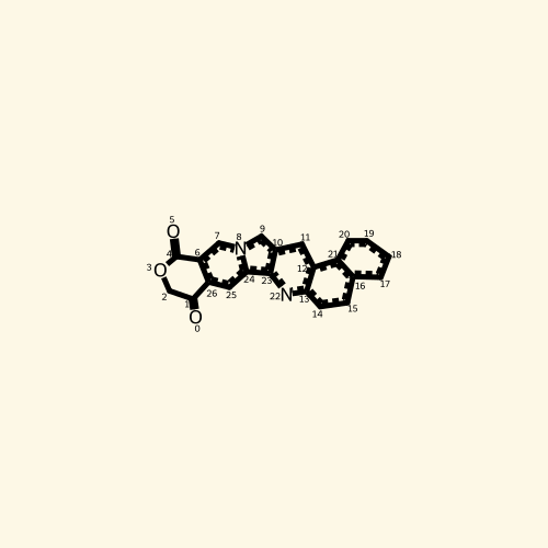 O=C1COC(=O)c2cn3cc4cc5c(ccc6ccccc65)nc4c3cc21